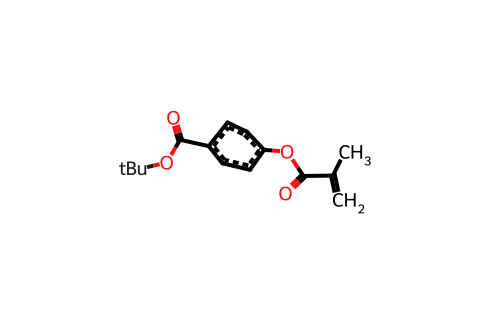 C=C(C)C(=O)Oc1ccc(C(=O)OC(C)(C)C)cc1